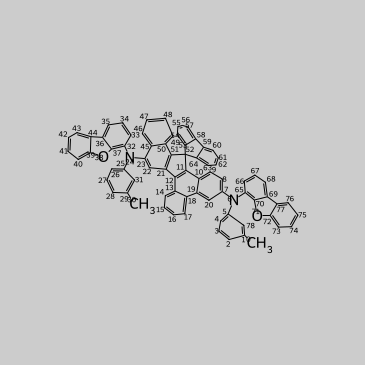 Cc1cccc(N(c2ccc3c4c(c5ccccc5c3c2)-c2cc(N(c3cccc(C)c3)c3cccc5c3oc3ccccc35)c3ccccc3c2C42c3ccccc3-c3ccccc32)c2cccc3c2oc2ccccc23)c1